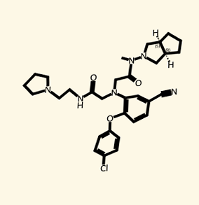 CN(C(=O)CN(CC(=O)NCCN1CCCC1)c1cc(C#N)ccc1Oc1ccc(Cl)cc1)N1C[C@H]2CCC[C@H]2C1